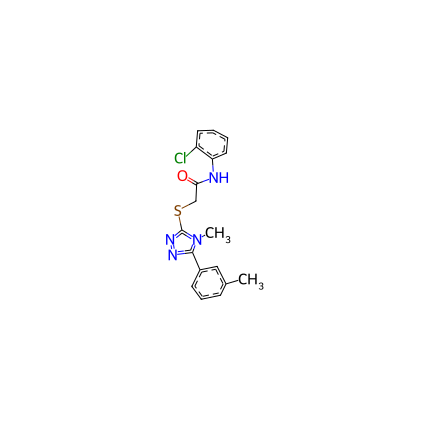 Cc1cccc(-c2nnc(SCC(=O)Nc3ccccc3Cl)n2C)c1